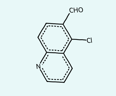 O=Cc1ccc2ncccc2c1Cl